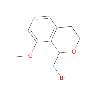 COc1cccc2c1C(CBr)OCC2